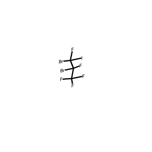 FC(F)(F)C(F)(Br)C(F)(Br)I